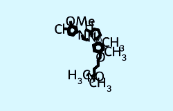 COc1cc(N2CCN3[C@@H](CCC[C@@H]3c3ccc(OCCCC(=O)N(C)C)c(C)c3C)C2)ccc1Cl